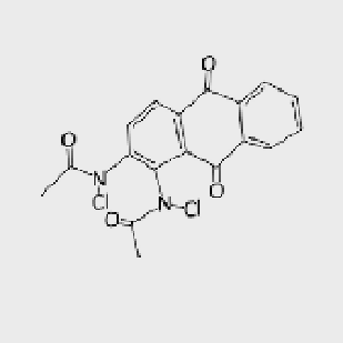 CC(=O)N(Cl)c1ccc2c(c1N(Cl)C(C)=O)C(=O)c1ccccc1C2=O